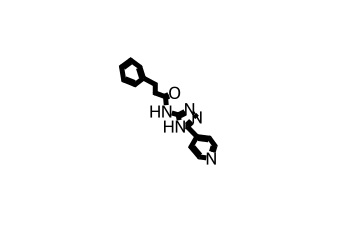 O=C(CCc1ccccc1)Nc1nnc(-c2ccncc2)[nH]1